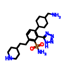 NCC1CCC(c2ccc(CCC3CCNCC3)c(S(N)(=O)=O)c2-c2nnn[nH]2)CC1